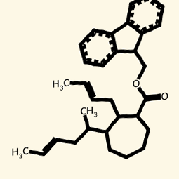 CC=CCC(C)C1CCCCC(C(=O)OCC2c3ccccc3-c3ccccc32)C1CC=CC